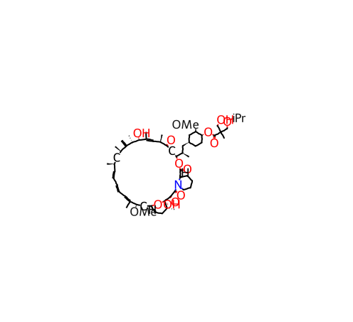 C=C1[C@H](C)C[C@H](C)/C=C/C=C/C=C(\C)[C@@H](OC)C[C@@H]2CC[C@@H](C)[C@@](O)(O2)C(=O)C(=O)N2CCCC[C@H]2C(=O)O[C@H]([C@H](C)C[C@@H]2CC[C@@H](OC(=O)C(C)(CO)COC(C)C)[C@H](OC)C2)CC(=O)[C@H](C)/C=C(\C)[C@@H](O)[C@H]1C